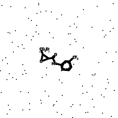 CCOC(=O)C1OC1C(=O)Nc1cccc(C(F)(F)F)c1